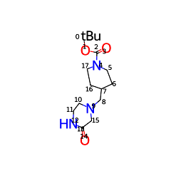 CC(C)(C)OC(=O)N1CCC(CN2CCNC(=O)C2)CC1